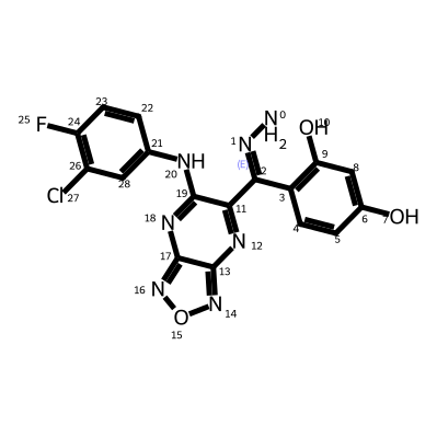 N/N=C(\c1ccc(O)cc1O)c1nc2nonc2nc1Nc1ccc(F)c(Cl)c1